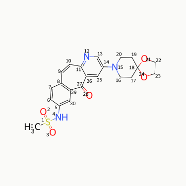 CS(=O)(=O)Nc1ccc2ccc3ncc(N4CCC5(CC4)OCCO5)cc3c(=O)c2c1